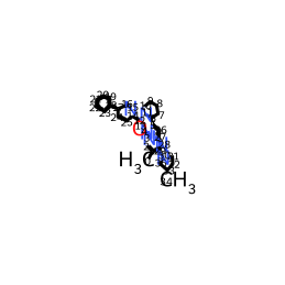 Cc1cn2nc([C@@H]3CCCCN3C(=O)C3=NCC(c4ccccc4)C=C3)cc2nc1N1CC[C@H](C)C1